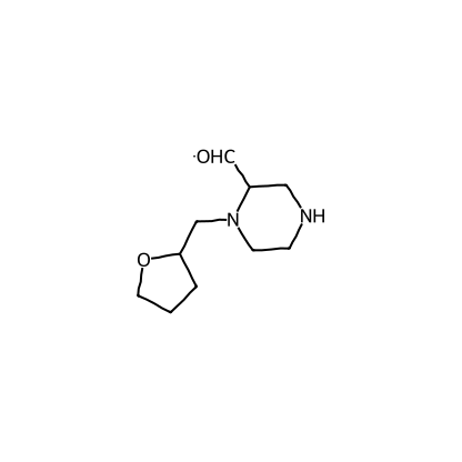 O=[C]C1CNCCN1CC1CCCO1